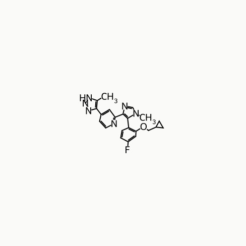 Cc1[nH]nnc1-c1ccnc(-c2ncn(C)c2-c2ccc(F)cc2OCC2CC2)c1